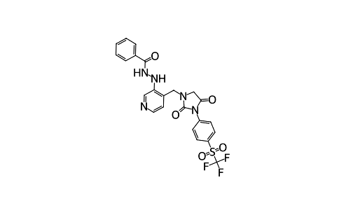 O=C(NNc1cnccc1CN1CC(=O)N(c2ccc(S(=O)(=O)C(F)(F)F)cc2)C1=O)c1ccccc1